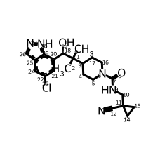 CC(C)(C1CCN(C(=O)NCC2(C#N)CC2)CC1)[C@H](O)c1cc(Cl)cc2cn[nH]c12